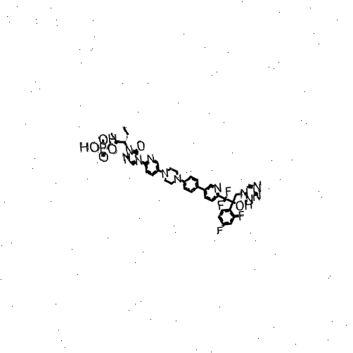 CC[C@@H]([C@H](C)OP(=O)(O)O)n1ncn(-c2ccc(N3CCN(c4ccc(-c5ccc(C(F)(F)C(O)(Cn6cnnn6)c6ccc(F)cc6F)nc5)cc4)CC3)cn2)c1=O